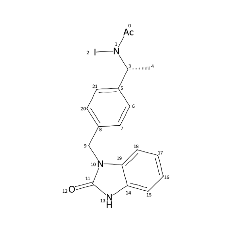 CC(=O)N(I)[C@H](C)c1ccc(Cn2c(=O)[nH]c3ccccc32)cc1